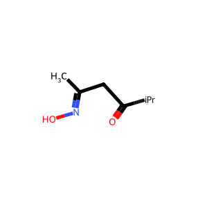 CC(CC(=O)C(C)C)=NO